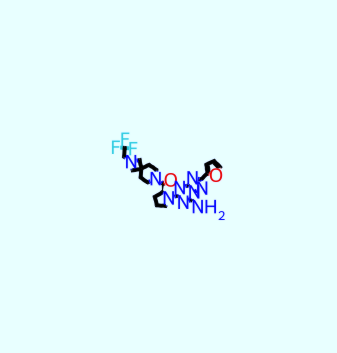 Nc1nc(N2CCC[C@H]2C(=O)N2CCC3(CC2)CN(CC(F)(F)F)C3)nc2nc(-c3ccco3)nn12